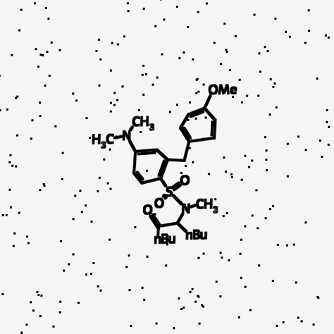 CCCCC(=O)C(CCCC)N(C)S(=O)(=O)c1ccc(N(C)C)cc1Cc1ccc(OC)cc1